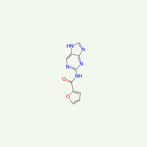 O=C(Nc1ncc2[nH]cnc2n1)c1ccco1